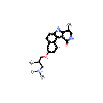 Cc1c[nH]c(=O)c2c1[nH]c1ccc3cc(OCC(C)CN(C)C)ccc3c12